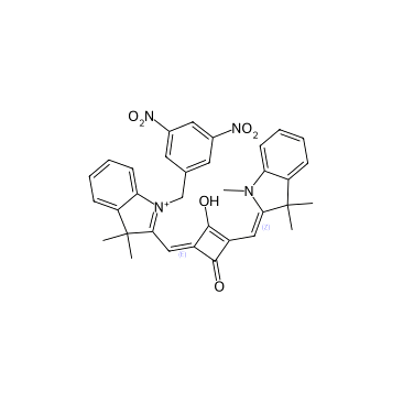 CN1/C(=C\C2=C(O)C(=C\C3=[N+](Cc4cc([N+](=O)[O-])cc([N+](=O)[O-])c4)c4ccccc4C3(C)C)/C2=O)C(C)(C)c2ccccc21